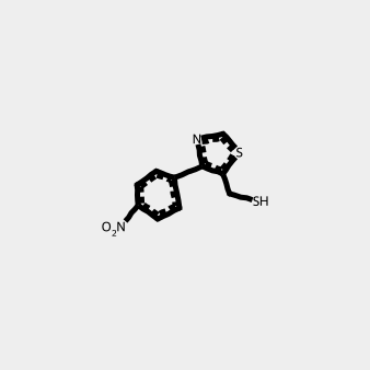 O=[N+]([O-])c1ccc(-c2ncsc2CS)cc1